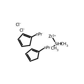 CCCC1=CC=CC1.CCCC1=CC=CC1.C[SiH](C)[Zr+2].[Cl-].[Cl-]